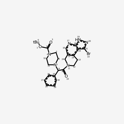 CC(C)(C)OC(=O)N1CCN(C(C(=O)N2CCc3c(cnc4[nH]nc(Br)c34)C2)c2ccccc2)CC1